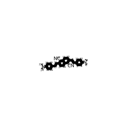 CN(C)c1ccc(C=Cc2ccc3c(C#N)c(C=Cc4ccc(N(C)C)cc4)ccc3c2C#N)cc1